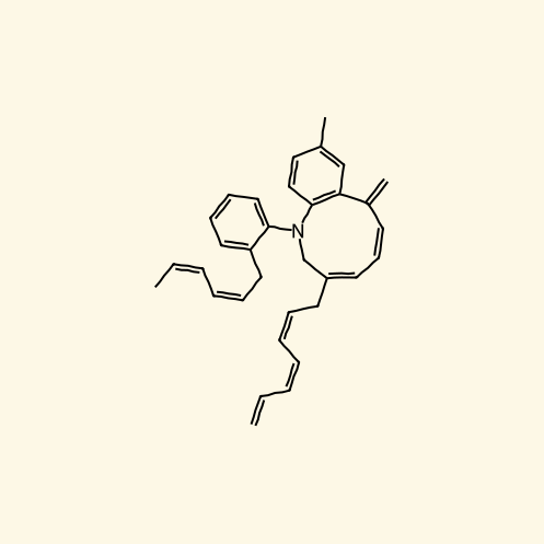 C=C/C=C\C=C/C/C1=C/C=C\C(=C)c2cc(C)ccc2N(c2ccccc2C/C=C\C=C/C)C1